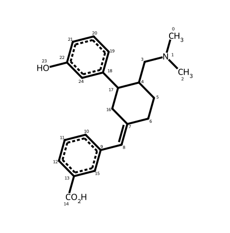 CN(C)CC1CCC(=Cc2cccc(C(=O)O)c2)CC1c1cccc(O)c1